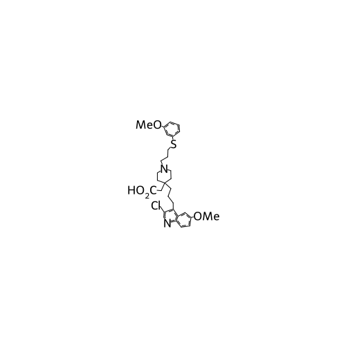 COc1cccc(SCCCN2CCC(CCCc3c(Cl)cnc4ccc(OC)cc34)(CC(=O)O)CC2)c1